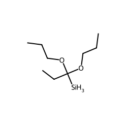 CCCOC([SiH3])(CC)OCCC